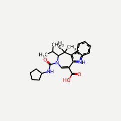 CC(C)C1N(C(=O)NC2CCCC2)C=C(C(=O)O)c2[nH]c3ccccc3c2C1(C)C